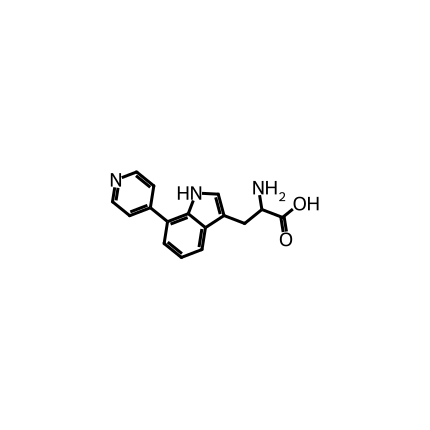 NC(Cc1c[nH]c2c(-c3ccncc3)cccc12)C(=O)O